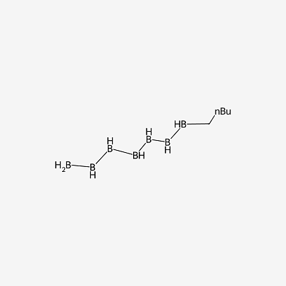 BBBBBBBCCCCC